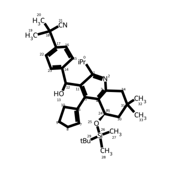 CC(C)c1nc2c(c(C3=CCCC3)c1C(O)c1ccc(C(C)(C)C#N)cc1)[C@H](O[Si](C)(C)C(C)(C)C)CC(C)(C)C2